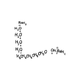 O.O.O.O.O.O.O.O.O.O.[BaH2].[BaH2]